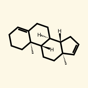 C[C@@]12C=CC[C@H]1[C@@H]1CCC3=CCCC[C@]3(C)[C@H]1CC2